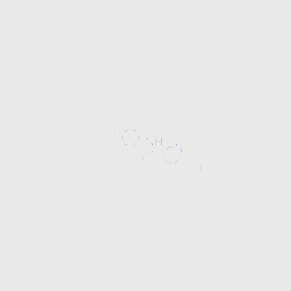 O=C(Nc1ccc(OCC(F)(F)F)cc1)c1ccc(CO)nc1